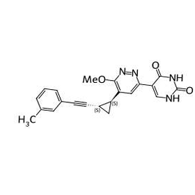 COc1nnc(-c2c[nH]c(=O)[nH]c2=O)cc1[C@H]1C[C@@H]1C#Cc1cccc(C)c1